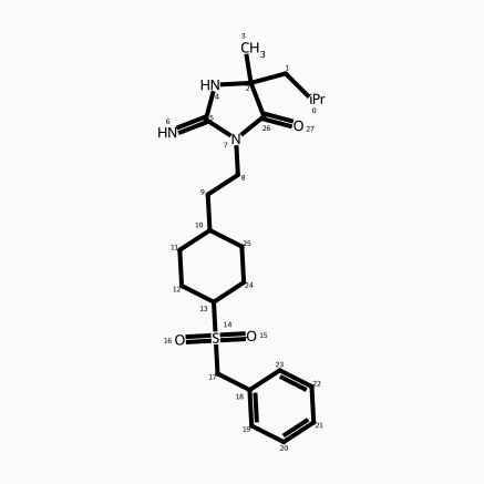 CC(C)CC1(C)NC(=N)N(CCC2CCC(S(=O)(=O)Cc3ccccc3)CC2)C1=O